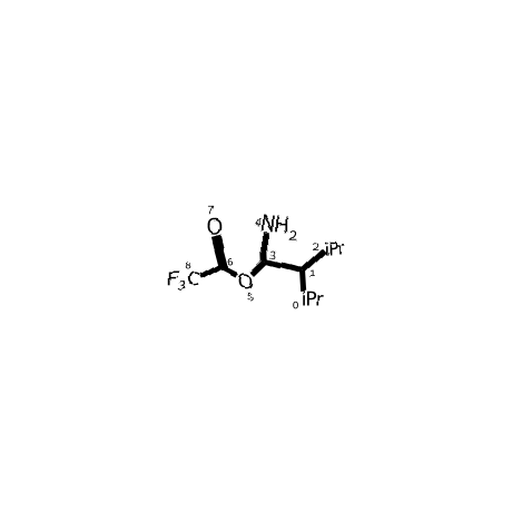 CC(C)C(C(C)C)C(N)OC(=O)C(F)(F)F